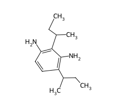 CCC(C)c1ccc(N)c(C(C)CC)c1N